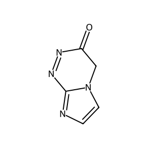 O=C1Cn2ccnc2N=N1